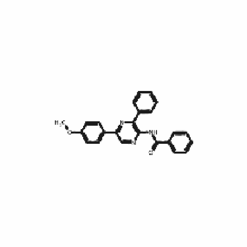 COc1ccc(-c2cnc(NC(=O)c3ccccc3)c(-c3ccccc3)n2)cc1